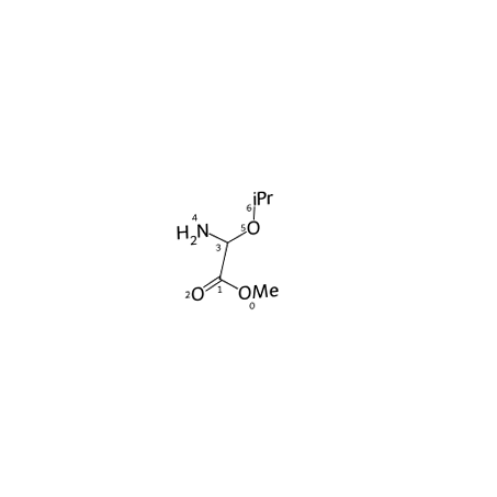 COC(=O)C(N)OC(C)C